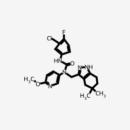 COc1ccc(N(Cc2n[nH]c3c2CC(C)(C)CC3)C(=O)Nc2ccc(F)c(Cl)c2)cn1